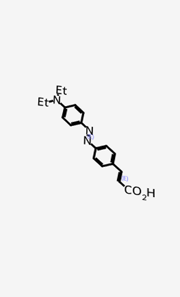 CCN(CC)c1ccc(/N=N/c2ccc(/C=C/C(=O)O)cc2)cc1